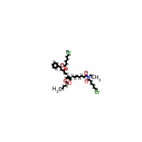 CCCCB1OC2CC(O1)[C@H](CC=CCCCC(=O)N(CC)C(=O)CCCCCBr)[C@H]2C=CC(CCc1ccccc1)OC(=O)CCCCCBr